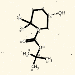 [2H]C1([2H])CC[C@H](O)CN1C(=O)OC(C)(C)C